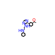 CC(=O)c1cccc(-c2nccnc2NCCNc2ccccc2)c1